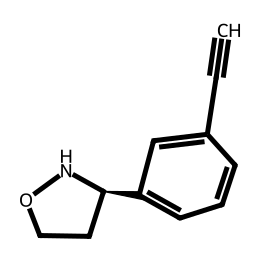 C#Cc1cccc([C@H]2CCON2)c1